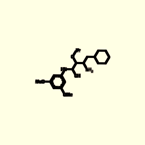 COc1cc(NC(O)C(OC(C)C)C(N)CC2CCCCC2)cc(OC)c1